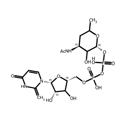 C=C1NC(=O)C=CN1[C@@H]1O[C@H](COP(=O)(O)OP(=O)(O)O[C@H]2OC(C)C[C@H](NC(C)=O)C2O)C(O)[C@@H]1O